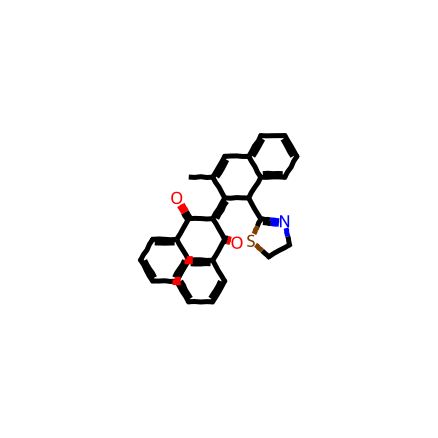 CC1=Cc2ccccc2C(C2=NCCS2)C1=C(C(=O)c1ccccc1)C(=O)c1ccccc1